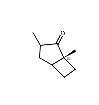 CC1CC2CC[C@@]2(C)C1=O